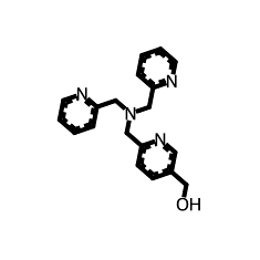 OCc1ccc(CN(Cc2ccccn2)Cc2ccccn2)nc1